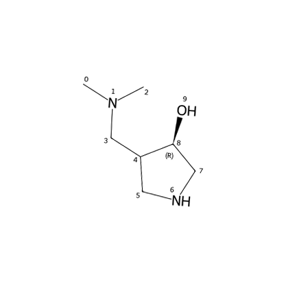 CN(C)CC1CNC[C@@H]1O